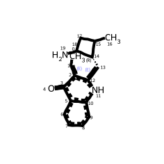 C/C=c1/c(=O)c2ccccc2[nH]/c1=C/[C@H]1C(C)CC1N